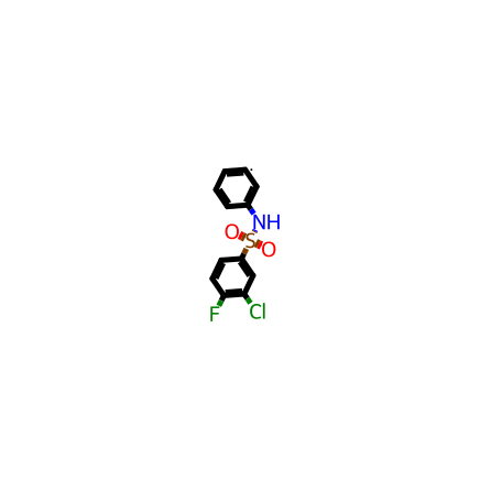 O=S(=O)(Nc1c[c]ccc1)c1ccc(F)c(Cl)c1